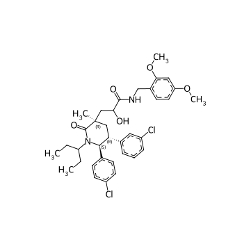 CCC(CC)N1C(=O)[C@@](C)(CC(O)C(=O)NCc2ccc(OC)cc2OC)C[C@H](c2cccc(Cl)c2)[C@H]1c1ccc(Cl)cc1